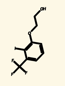 OCCOc1cccc(C(F)(F)F)c1I